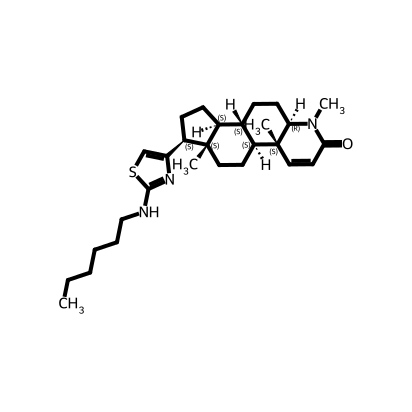 CCCCCCNc1nc([C@H]2CC[C@H]3[C@@H]4CC[C@H]5N(C)C(=O)C=C[C@]5(C)[C@H]4CC[C@]23C)cs1